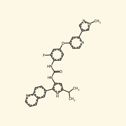 CC(C)c1cc(NC(=O)Nc2ccc(Oc3ccnc(-c4cnn(C)c4)c3)cc2F)c(-c2ccc3ncccc3c2)[nH]1